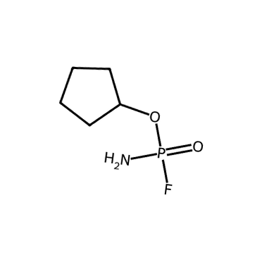 NP(=O)(F)OC1CCCC1